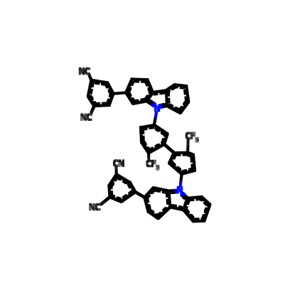 N#Cc1cc(C#N)cc(-c2ccc3c4ccccc4n(-c4ccc(C(F)(F)F)c(-c5cc(-n6c7ccccc7c7ccc(-c8cc(C#N)cc(C#N)c8)cc76)ccc5C(F)(F)F)c4)c3c2)c1